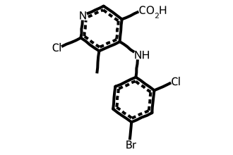 Cc1c(Cl)ncc(C(=O)O)c1Nc1ccc(Br)cc1Cl